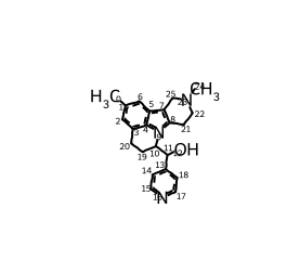 Cc1cc2c3c(c1)c1c(n3C(C(O)c3ccncc3)CC2)CCN(C)C1